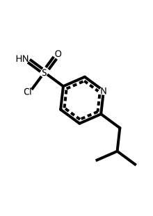 CC(C)Cc1ccc(S(=N)(=O)Cl)cn1